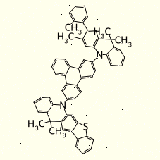 Cc1ccccc1-c1cc2c(cc1C)N(c1ccc3c4ccc(N5c6ccccc6C(C)(C)c6cc7c(cc65)sc5ccccc57)cc4c4ccccc4c3c1)c1ccccc1C2(C)C